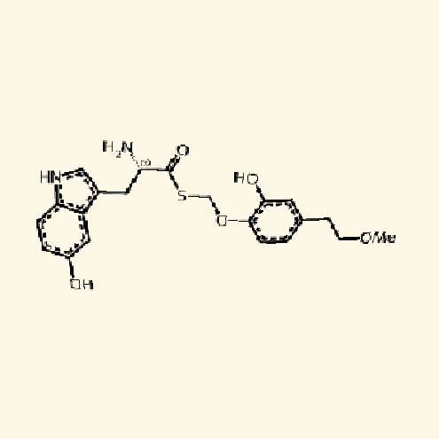 COCCc1ccc(OCSC(=O)[C@@H](N)Cc2c[nH]c3ccc(O)cc23)c(O)c1